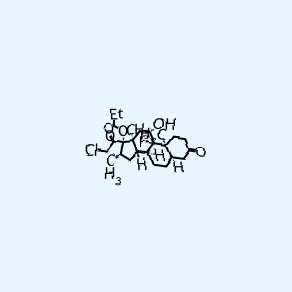 CCC(=O)O[C@@]1(C(=O)CCl)[C@H](C)C[C@H]2[C@@H]3CC[C@@H]4CC(=O)CC[C@]4(C)[C@@]3(F)[C@@H](O)C[C@@]21C